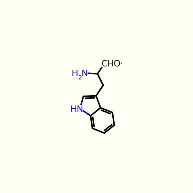 NC([C]=O)Cc1c[nH]c2ccccc12